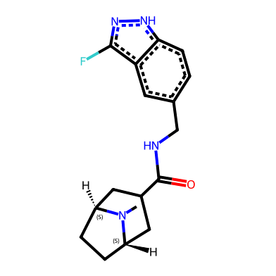 CN1[C@H]2CC[C@H]1CC(C(=O)NCc1ccc3[nH]nc(F)c3c1)C2